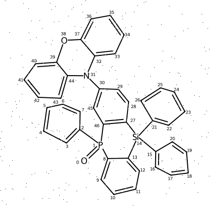 O=P1(c2ccccc2)c2ccccc2[Si](c2ccccc2)(c2ccccc2)c2ccc(N3c4ccccc4Oc4ccccc43)cc21